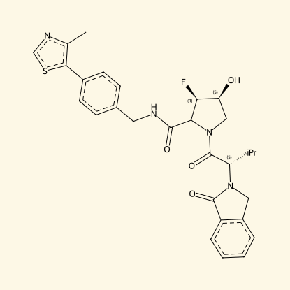 Cc1ncsc1-c1ccc(CNC(=O)C2[C@@H](F)[C@@H](O)CN2C(=O)[C@H](C(C)C)N2Cc3ccccc3C2=O)cc1